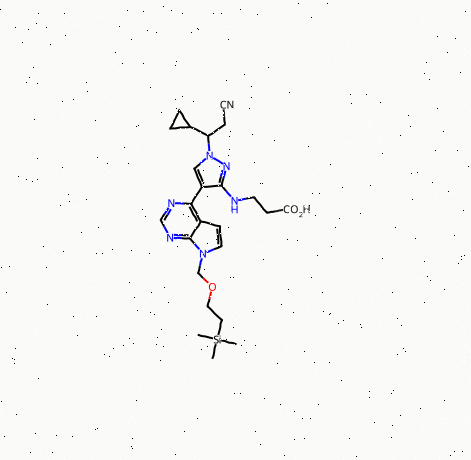 C[Si](C)(C)CCOCn1ccc2c(-c3cn(C(CC#N)C4CC4)nc3NCCC(=O)O)ncnc21